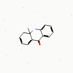 CC12CC=CC=C1C(=O)c1ccccc1N2